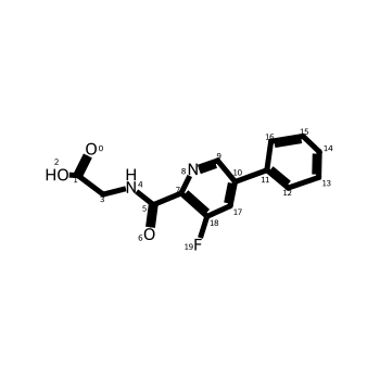 O=C(O)CNC(=O)c1ncc(-c2ccccc2)cc1F